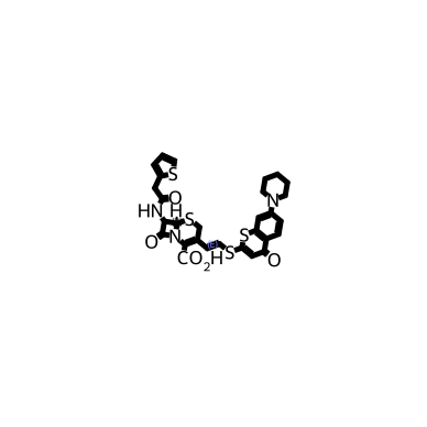 O=C(Cc1cccs1)NC1C(=O)N2C(C(=O)O)=C(/C=C/Sc3cc(=O)c4ccc(N5CCCCC5)cc4s3)CS[C@H]12